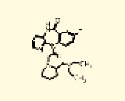 CCN(CC)CC1CCCCN1CC(=O)N1c2ccc(F)cc2C(=O)Nc2cccnc21